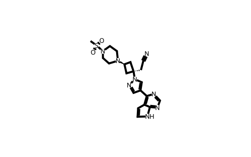 CS(=O)(=O)N1CCN([C@H]2C[C@@](CC#N)(n3cc(-c4ncnc5[nH]ccc45)cn3)C2)CC1